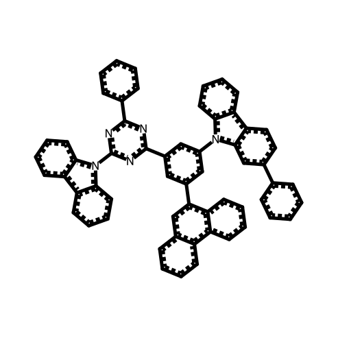 c1ccc(-c2ccc3c4ccccc4n(-c4cc(-c5nc(-c6ccccc6)nc(-n6c7ccccc7c7ccccc76)n5)cc(-c5cc6ccccc6c6ccccc56)c4)c3c2)cc1